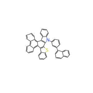 c1cc(-c2cccc3ccccc23)cc(-n2c3ccccc3c3c4c5ccccc5c5ccccc5c4c4c5ccccc5sc4c32)c1